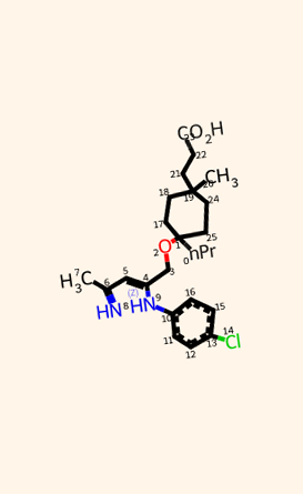 CCCC1(OC/C(=C/C(C)=N)Nc2ccc(Cl)cc2)CCC(C)(CCC(=O)O)CC1